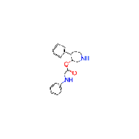 O=C(CNc1ccccc1)OC1CNCCC1c1ccccc1